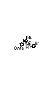 COc1cccc(-n2nc(C(C)(C)C)cc2NC(=O)Nc2cccc(Br)c2)c1